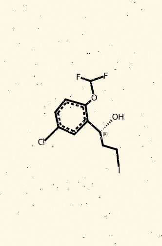 O[C@H](CCI)c1cc(Cl)ccc1OC(F)F